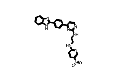 O=[N+]([O-])c1ccc(NCCNc2nccc(-c3ccc(-c4nc5ccccc5[nH]4)cc3)n2)nc1